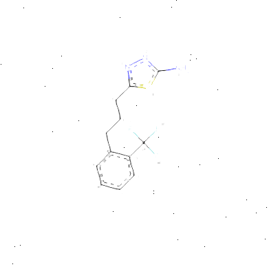 Nc1nnc(CCCc2ccccc2C(F)(F)F)s1